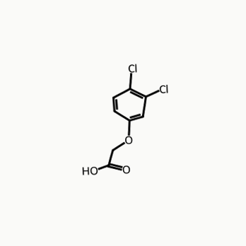 O=C(O)COc1ccc(Cl)c(Cl)c1